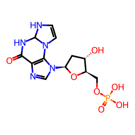 O=C1NC2NC=CN2c2c1ncn2[C@H]1C[C@H](O)[C@@H](COP(=O)(O)O)O1